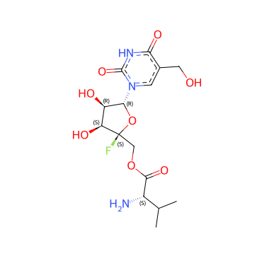 CC(C)[C@H](N)C(=O)OC[C@@]1(F)O[C@@H](n2cc(CO)c(=O)[nH]c2=O)[C@H](O)[C@@H]1O